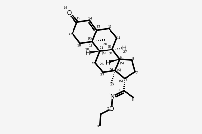 CCON=C(C)[C@H]1CC[C@H]2[C@@H]3CCC4=CC(=O)CC[C@]4(C)[C@H]3CC[C@]12C